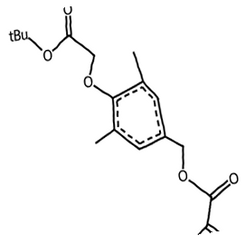 C=C(C)C(=O)OCc1cc(C)c(OCC(=O)OC(C)(C)C)c(C)c1